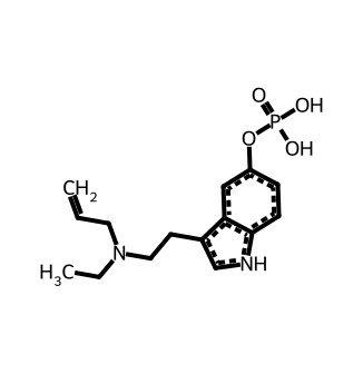 C=CCN(CC)CCc1c[nH]c2ccc(OP(=O)(O)O)cc12